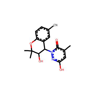 Cc1cc(O)nn(C2c3cc(C#N)ccc3OC(C)(C)C2O)c1=O